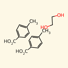 Cc1ccc(C(=O)O)cc1.Cc1ccc(C(=O)O)cc1.OCCO